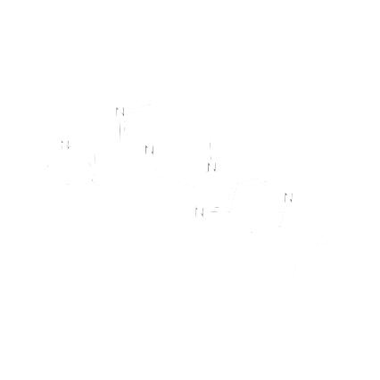 CCn1c(Cn2ccnc2-c2nccs2)nc2cc(C(C)C)ncc21